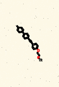 CCOCCOc1ccc(C#Cc2ccc(-c3ccc(C)cc3)cc2)cc1